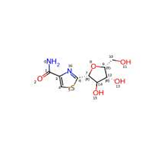 NC(=O)c1csc([C@@H]2O[C@H](CO)[C@H](O)C2O)n1